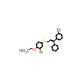 CCc1cccc(C(=CCSc2ccc(OCC(=O)O)c(Br)c2)c2ccccc2)c1